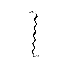 CCCCCCCCC=CCCC=CCCCCOC(C)=O